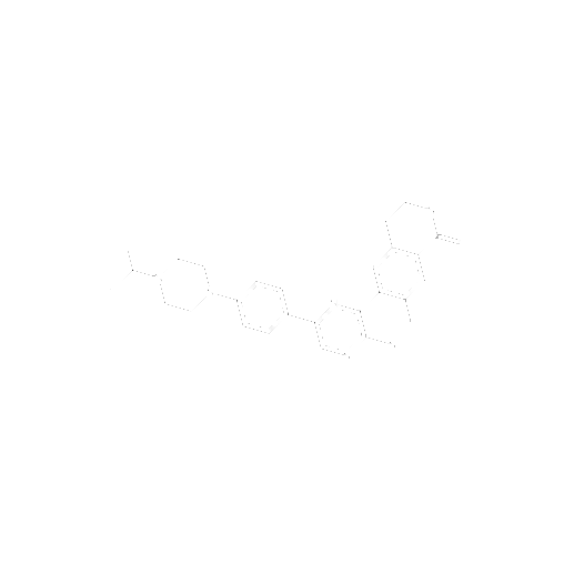 CC(C)N1CCN(c2ccc(-c3cnc(N)c(-c4cc5c(cc4F)C(=O)NCC5)n3)cc2)CC1